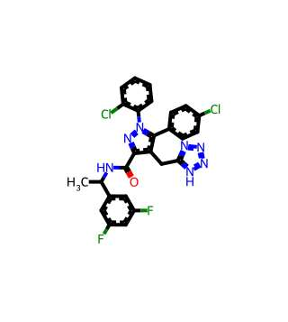 CC(NC(=O)c1nn(-c2ccccc2Cl)c(-c2ccc(Cl)cc2)c1Cc1nnn[nH]1)c1cc(F)cc(F)c1